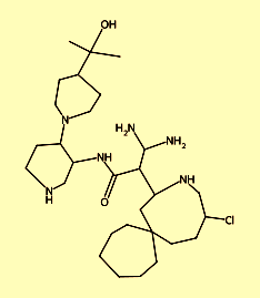 CC(C)(O)C1CCN(C2CCNCC2NC(=O)C(C(N)N)C2CC3(CCCCCC3)CCC(Cl)CN2)CC1